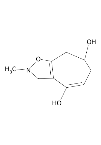 CN1CC2=C(CC(O)CC=C2O)O1